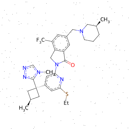 CCSc1cc([C@]2(c3nncn3C)C[C@@H](C)C2)cc(N2Cc3c(cc(CN4CCC[C@H](C)C4)cc3C(F)(F)F)C2=O)n1